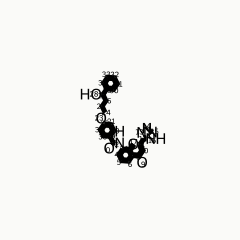 O=C(Nc1cccc2c(=O)cc(-c3nnn[nH]3)oc12)c1ccc(OCCCC(O)c2ccccc2)cc1